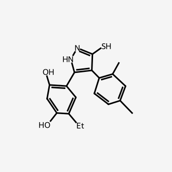 CCc1cc(-c2[nH]nc(S)c2-c2ccc(C)cc2C)c(O)cc1O